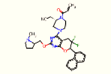 C=CC(=O)N1CCN(c2nc(OCC3CCCN3C)nc3c2CC(F)(F)C(c2cccc4ccccc24)O3)C[C@@H]1CC#N